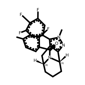 Cc1ccc(C(=O)N2[C@@H]3CCC[C@H]2c2nn(C)c(-c4cc(F)c(F)c(F)c4)c2C3)c(F)c1